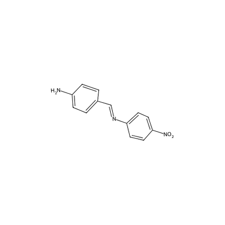 Nc1ccc(C=Nc2ccc([N+](=O)[O-])cc2)cc1